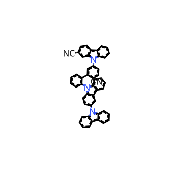 N#Cc1ccc2c3ccccc3n(-c3ccc(C#N)c(-c4ccccc4-n4c5ccccc5c5cc(-n6c7ccccc7c7ccccc76)ccc54)c3)c2c1